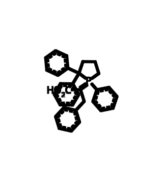 O=C(O)C(Cc1ccccc1)=P1(c2ccccc2)CCCC1(c1ccccc1)c1ccccc1